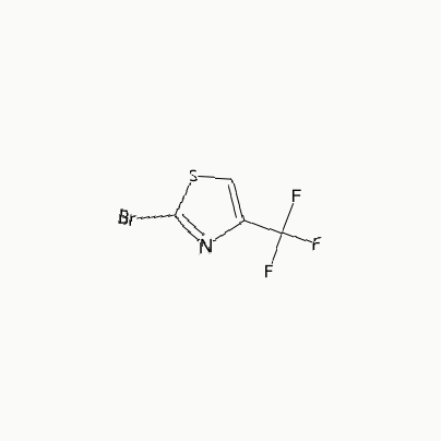 FC(F)(F)c1csc(Br)n1